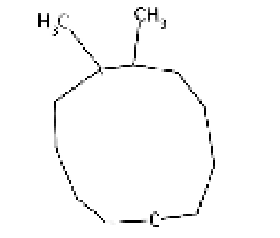 C[C]1CCCCCCCCCC1C